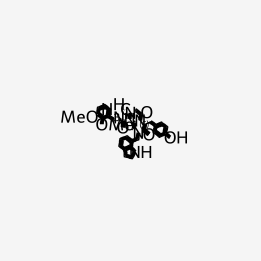 COc1cccc(CNC(=O)N2C3CN(Cc4cccc5c4NCC5)C(=O)[C@H](Cc4ccc(O)cc4)N3C(=O)CN2C)c1OC